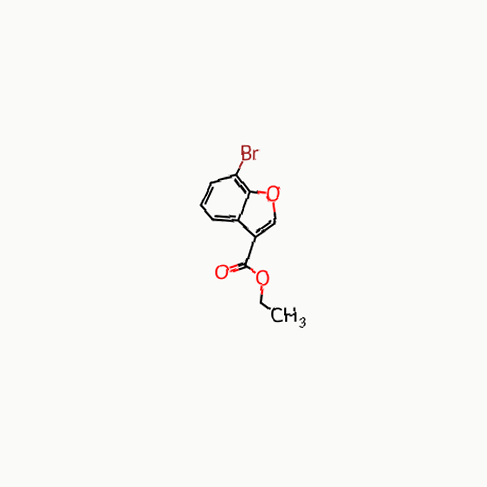 CCOC(=O)c1coc2c(Br)cccc12